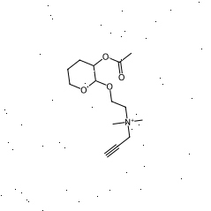 C#CC[N+](C)(C)CCOC1OCCCC1OC(C)=O